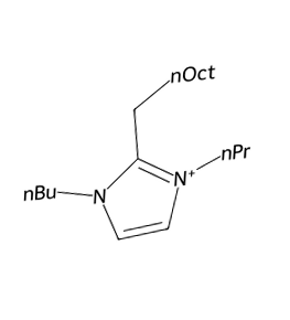 CCCCCCCCCc1n(CCCC)cc[n+]1CCC